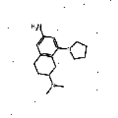 CN(C)C1CCc2cc(N)cc(N3CCCC3)c2C1